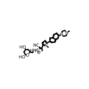 C/C(=C(/C#N)[S+]([O-])NCC1CC(O)CC(O)O1)c1ccc(-c2ccc3cc(N4CCN(C)CC4)ccc3c2)n1C